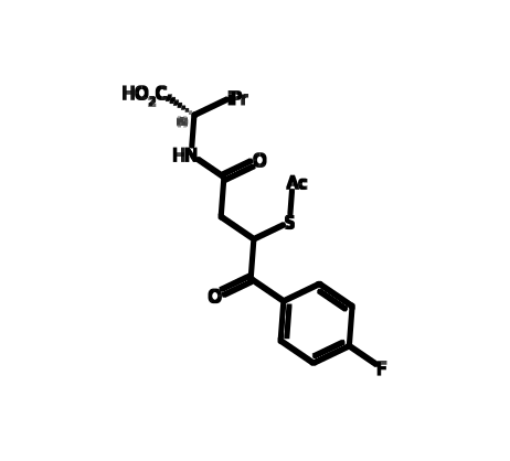 CC(=O)SC(CC(=O)N[C@H](C(=O)O)C(C)C)C(=O)c1ccc(F)cc1